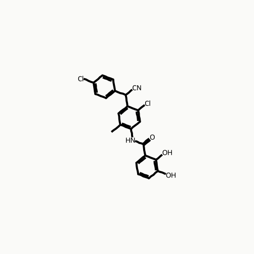 Cc1cc(C(C#N)c2ccc(Cl)cc2)c(Cl)cc1NC(=O)c1cccc(O)c1O